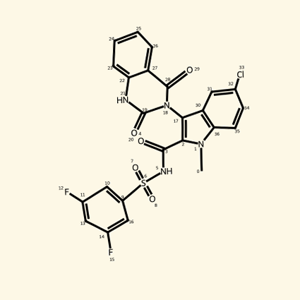 Cn1c(C(=O)NS(=O)(=O)c2cc(F)cc(F)c2)c(-n2c(=O)[nH]c3ccccc3c2=O)c2cc(Cl)ccc21